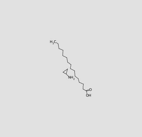 CCCCCCCCCCCCCCCC(=O)O.NC1CC1